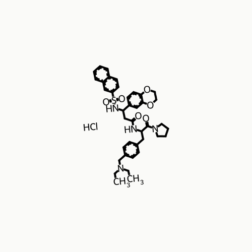 CCN(CC)Cc1ccc(CC(NC(=O)CC(NS(=O)(=O)c2ccc3ccccc3c2)c2ccc3c(c2)OCCO3)C(=O)N2CCCC2)cc1.Cl